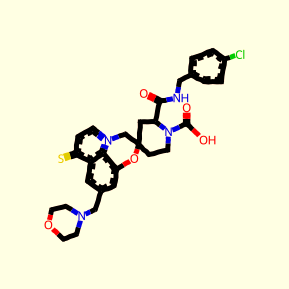 O=C(NCc1ccc(Cl)cc1)C1CC2(CCN1C(=O)O)Cn1ccc(=S)c3cc(CN4CCOCC4)cc(c31)O2